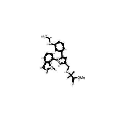 COC(=O)C(C)(C)OCc1cc(-c2cccc(OCC(C)(C)C)c2)n(-c2cccc3cnn(C)c23)n1